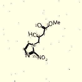 COC(=O)CC(O)Cn1ccnc1[N+](=O)[O-]